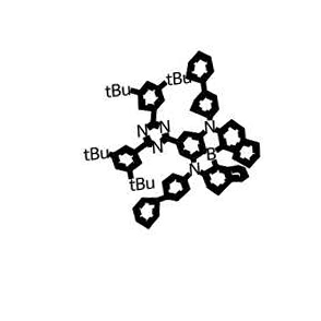 CC(C)(C)c1cc(-c2nc(-c3cc(C(C)(C)C)cc(C(C)(C)C)c3)nc(-c3cc4c5c(c3)N(c3ccc(-c6ccccc6)cc3)c3ccc6ccccc6c3B5c3c(ccc5ccccc35)N4c3ccc(-c4ccccc4)cc3)n2)cc(C(C)(C)C)c1